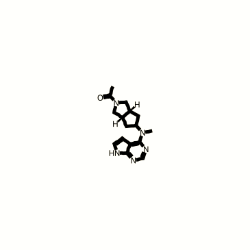 CC(=O)N1C[C@H]2CC(N(C)c3ncnc4[nH]ccc34)C[C@H]2C1